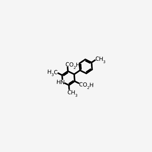 CC1=C(C(=O)O)C(c2ccc(C)cc2)C(C(=O)O)=C(C)N1